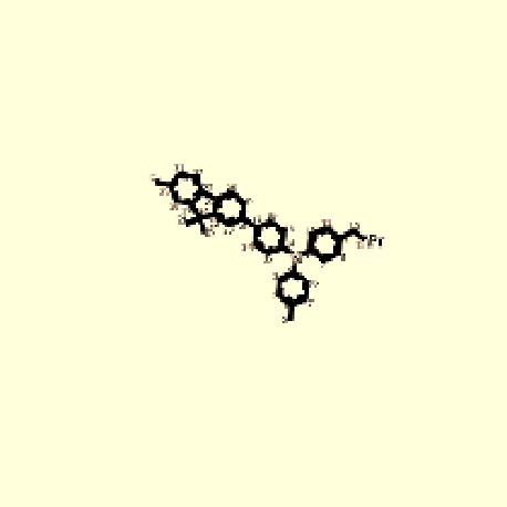 Cc1ccc(N(c2ccc(CC(C)C)cc2)c2ccc(-c3ccc4c(c3)C(C)(C)c3cc(C)ccc3-4)cc2)cc1